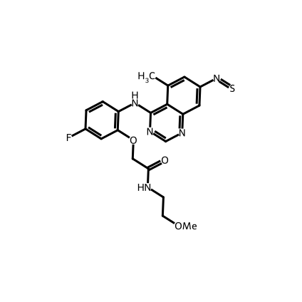 COCCNC(=O)COc1cc(F)ccc1Nc1ncnc2cc(N=S)cc(C)c12